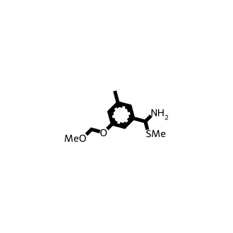 COCOc1cc(C)cc(C(N)SC)c1